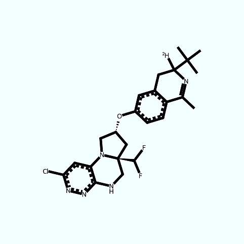 [2H]C1(C(C)(C)C)Cc2cc(O[C@H]3CN4c5cc(Cl)nnc5NC[C@@]4(C(F)F)C3)ccc2C(C)=N1